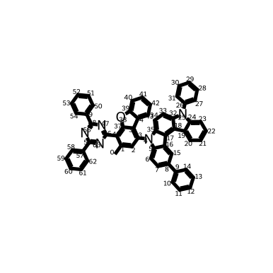 Cc1cc(-n2c3ccc(-c4ccccc4)cc3c3c4c5ccccc5n(-c5ccccc5)c4ccc32)c2c(oc3ccccc32)c1-c1nc(-c2ccccc2)nc(-c2ccccc2)n1